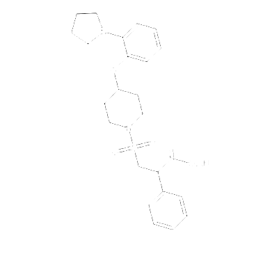 O=C(O)NC(CS(=O)(=O)N1CCC(Oc2ccccc2N2CCCC2)CC1)c1ccccc1